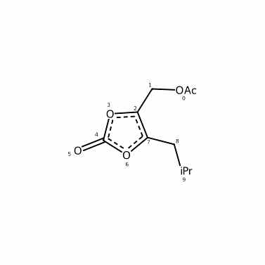 CC(=O)OCc1oc(=O)oc1CC(C)C